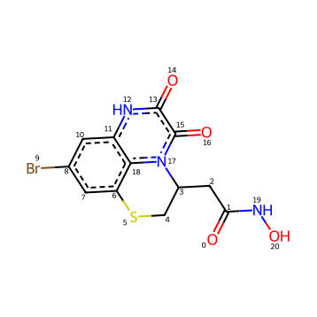 O=C(CC1CSc2cc(Br)cc3[nH]c(=O)c(=O)n1c23)NO